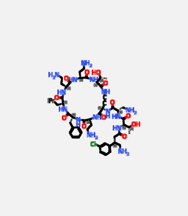 CC(C)C[C@@H]1NC(=O)[C@@H](Cc2ccccc2)NC(=O)[C@H](CCN)NC(=O)[C@@H](NC(=O)[C@H](CN)NC(=O)[C@@H](NC(=O)C[C@@H](CN)c2cccc(Cl)c2)[C@@H](C)O)CCNC(=O)[C@H]([C@@H](C)O)NC(=O)[C@H](CCN)NC(=O)[C@H](CCN)NC1=O